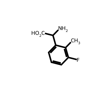 Cc1c(F)cccc1C(N)C(=O)O